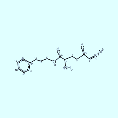 [N-]=[N+]=CC(=O)CCC(N)C(=O)OCCCc1ccccc1